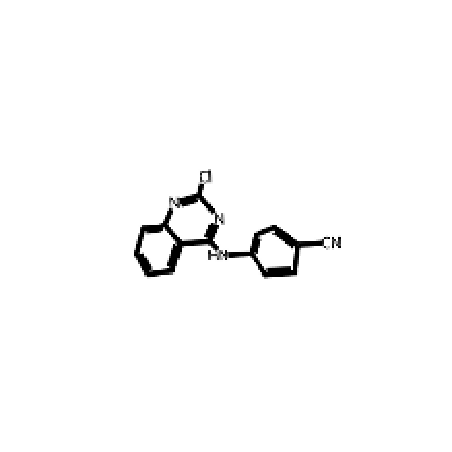 N#Cc1ccc(Nc2nc(Cl)nc3ccccc23)cc1